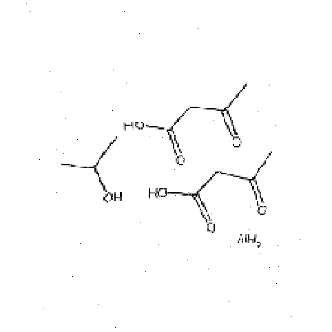 CC(=O)CC(=O)O.CC(=O)CC(=O)O.CC(C)O.[AlH3]